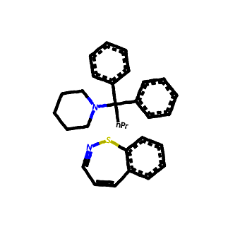 C1=Cc2ccccc2SN=C1.CCCC(c1ccccc1)(c1ccccc1)N1CCCCC1